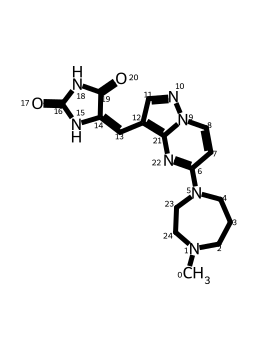 CN1CCCN(c2ccn3ncc(C=C4NC(=O)NC4=O)c3n2)CC1